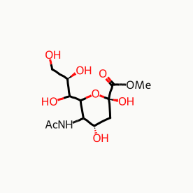 COC(=O)[C@]1(O)C[C@H](O)C(NC(C)=O)C(C(O)[C@H](O)CO)O1